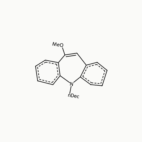 CCCCCCCCCCN1c2ccccc2C=C(OC)c2ccccc21